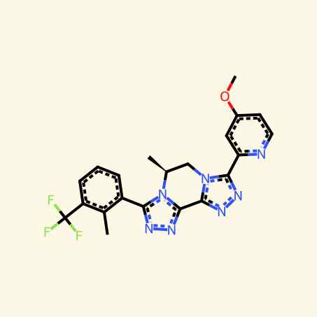 COc1ccnc(-c2nnc3n2C[C@H](C)n2c(-c4cccc(C(F)(F)F)c4C)nnc2-3)c1